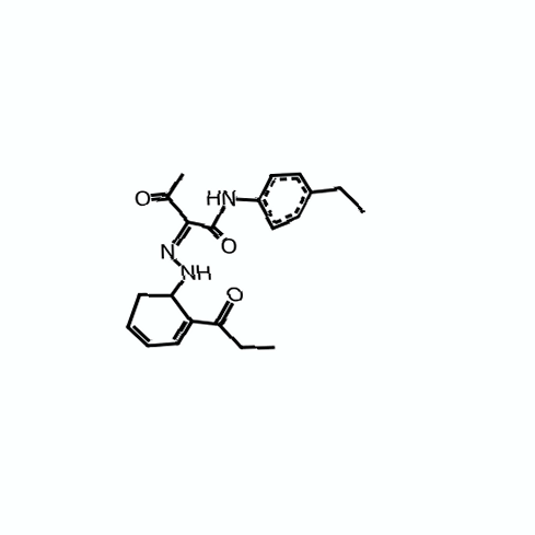 CCC(=O)C1=CC=CCC1N/N=C(/C(C)=O)C(=O)Nc1ccc(CC)cc1